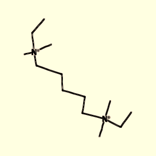 CC[N+](C)(C)CCCCC[N+](C)(C)CC